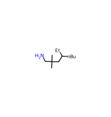 CCCCC(CC)CC(C)(C)CN